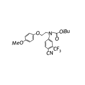 COc1ccc(OCCN(CC(=O)OCC(C)C)c2ccc(C#N)c(C(F)(F)F)c2)cc1